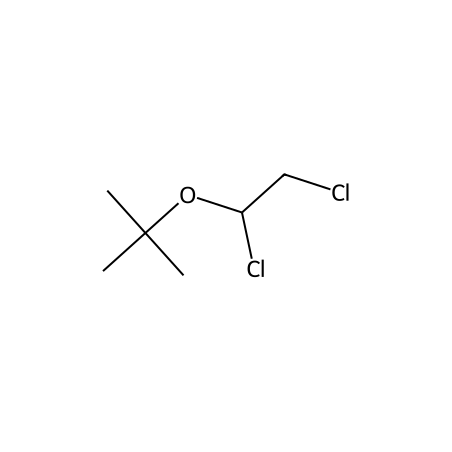 CC(C)(C)OC(Cl)CCl